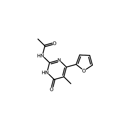 CC(=O)Nc1nc(-c2ccco2)c(C)c(=O)[nH]1